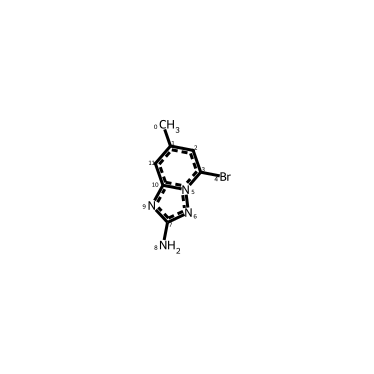 Cc1cc(Br)n2nc(N)nc2c1